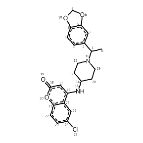 CC(c1ccc2c(c1)OCO2)N1CCC(Nc2cc(=O)oc3ccc(Cl)cc23)CC1